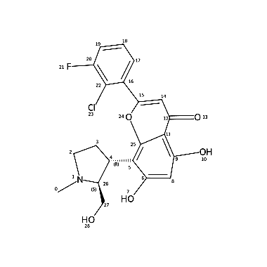 CN1CC[C@H](c2c(O)cc(O)c3c(=O)cc(-c4cccc(F)c4Cl)oc23)[C@H]1CO